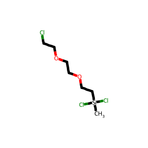 C[Si](Cl)(Cl)CCOCCOCCCl